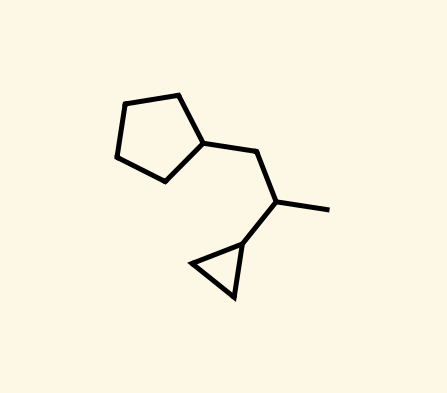 CC(CC1CCCC1)C1CC1